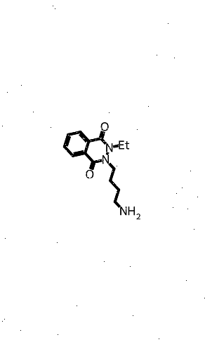 CCn1c(=O)c2ccccc2c(=O)n1CCCCN